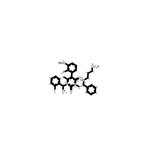 COc1cccc(-c2c(C)n(C(c3ccccc3F)C(F)(F)F)c(=O)n(C[C@H](NCCCC(=O)O)c3ccccc3)c2=O)c1F